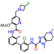 COc1cc(CN2CC(F)C2)cnc1C(=O)Nc1cccc(-c2cccc(NC(=O)c3nc4c(n3C)CCN(C)C4)c2Cl)c1C